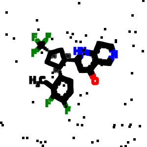 Cc1c([C@@H]2C[C@H](C(F)(F)F)C[C@H]2c2cc(=O)c3cnccc3[nH]2)ccc(F)c1F